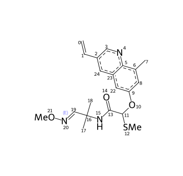 C=Cc1cnc2c(C)cc(OC(SC)C(=O)NC(C)(C)/C=N/OC)cc2c1